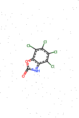 O=c1[nH]c2c(Cl)c(Cl)c(Cl)c(Cl)c2o1